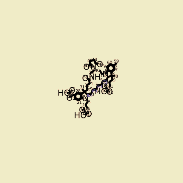 CC[N+]1=C(/C=C/C=C/C=C/C=C2/N(CCCS(=O)(=O)O)c3ccc(S(=O)(=O)O)cc3C2(C)CCCC(=O)NCCN2C(=O)CCC2=O)C(C)(CCCS(=O)(=O)O)c2cc(C)ccc21